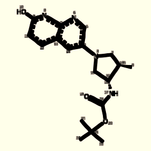 C[C@@H]1CN(c2cnc3nc(O)ccc3c2)C[C@H]1NC(=O)OC(C)(C)C